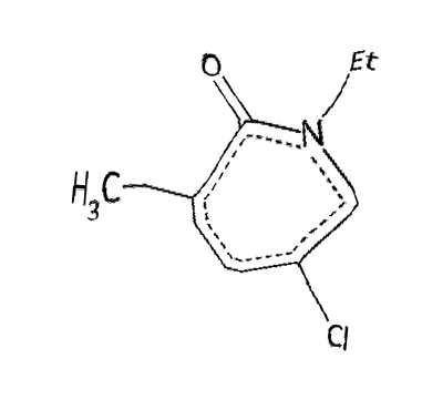 CCn1cc(Cl)cc(C)c1=O